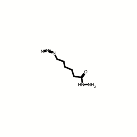 [N-]=[N+]=NCCCCCC(=O)NN